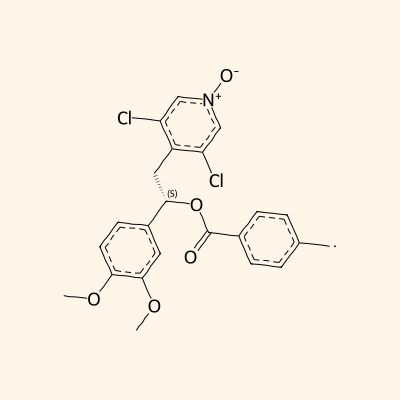 [CH2]c1ccc(C(=O)O[C@@H](Cc2c(Cl)c[n+]([O-])cc2Cl)c2ccc(OC)c(OC)c2)cc1